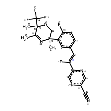 C[C@@]1(c2cc(/C=C(\F)c3cnc(C#N)cn3)ccc2F)CO[C@@](C)(C(F)(F)F)C(N)=N1